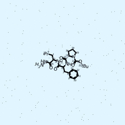 CC(C)CC(NC(=O)C(Cc1ccccc1)NC(=O)[C@@H]1CCCN1C(=O)OC(C)(C)C)C(=O)NN